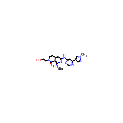 Cn1cc(-c2cc(Nc3cc4ccn(CCO)c(=O)c4c(NC(C)(C)C)n3)ncn2)cn1